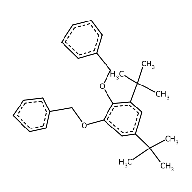 CC(C)(C)c1cc(OCc2ccccc2)c(OCc2ccccc2)c(C(C)(C)C)c1